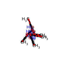 CCCCCCCCCCCCNC(=O)CCN(CCNCCN(CCC(=O)NCCCCCCCCCCCC)CCN(CCC(=O)NCCCCCCCCCCC)CCC(=O)NCCCCCCCCCCCC)CCC(=O)NCCCCCCCCCCCC